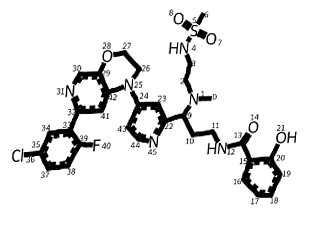 CN(CCNS(C)(=O)=O)C(CCNC(=O)c1ccccc1O)c1cc(N2CCOc3cnc(-c4cc(Cl)ccc4F)cc32)ccn1